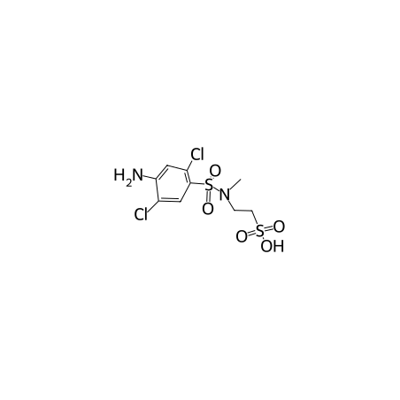 CN(CCS(=O)(=O)O)S(=O)(=O)c1cc(Cl)c(N)cc1Cl